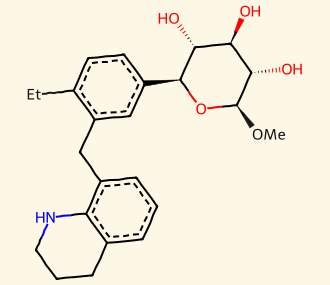 CCc1ccc([C@@H]2O[C@H](OC)[C@@H](O)[C@H](O)[C@H]2O)cc1Cc1cccc2c1NCCC2